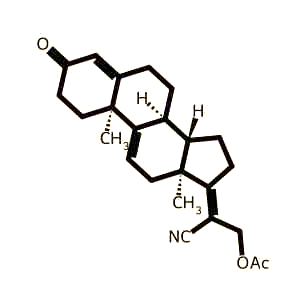 CC(=O)OC/C(C#N)=C1\CC[C@H]2[C@@H]3CCC4=CC(=O)CC[C@]4(C)C3=CC[C@]12C